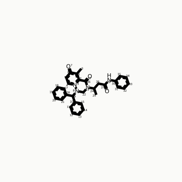 Cc1c2n(ccc1=O)N(C(c1ccccc1)c1ccccc1)CN(C(C)CC(=O)Nc1ccccc1)C2=O